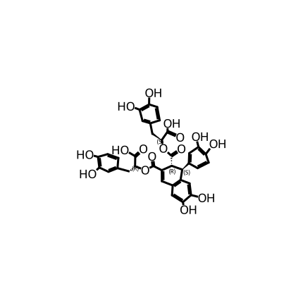 O=C(O[C@H](Cc1ccc(O)c(O)c1)C(=O)O)C1=Cc2cc(O)c(O)cc2[C@H](c2ccc(O)c(O)c2)[C@H]1C(=O)O[C@@H](Cc1ccc(O)c(O)c1)C(=O)O